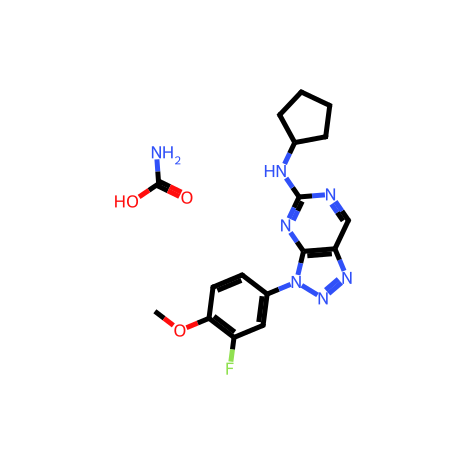 COc1ccc(-n2nnc3cnc(NC4CCCC4)nc32)cc1F.NC(=O)O